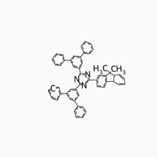 CC1(C)c2cc(-c3nc(-c4cc(-c5ccccc5)cc(-c5ccccc5)c4)nc(-c4cc(-c5ccccc5)cc(-c5ccccc5)c4)n3)ccc2C2C=CC=CC21